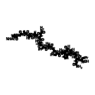 CCC(C)(NC(=O)C1(C)NC(=O)C(CC(C)C)N1C(=O)C1CCCN1C(=O)C(C)(C)NC(=O)C(CC(C)C)NC(=O)CNC(=O)C(C)(C)NC(=O)C(NC(=O)C(C)(C)NC(=O)C(CCC(N)=O)NC(=O)C(C)(C)NC(=O)C(C)(C)NC(=O)C(C)NC(=O)CNC(=O)C(C)(C)NC(C)=O)C(C)C)C(=O)NC(CCC(N)=O)C(=O)NC(CO)CC(C)C